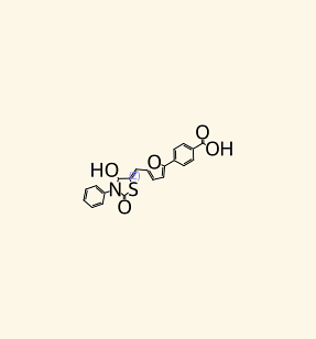 O=C(O)c1ccc(-c2ccc(/C=C3\SC(=O)N(c4ccccc4)C3O)o2)cc1